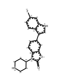 O=c1oc2cc(-c3c[nH]c4cc(F)ccc34)ccc2n1C1CCNCC1